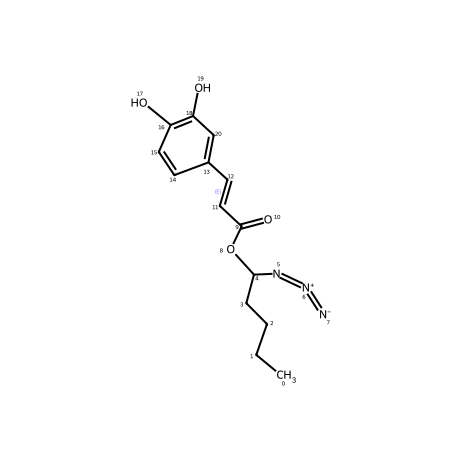 CCCCC(N=[N+]=[N-])OC(=O)/C=C/c1ccc(O)c(O)c1